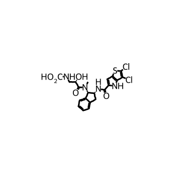 CN(C(=O)[C@@H](O)CNC(=O)O)[C@@H]1c2ccccc2C[C@H]1NC(=O)c1cc2sc(Cl)c(Cl)c2[nH]1